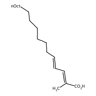 CCCCCCCCCCCCCCC=CC=C(C)C(=O)O